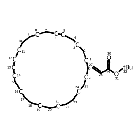 C1CCCCCCCCCCCCCCCCCCCCCCCCCC1.C=CC(=O)OC(C)(C)C